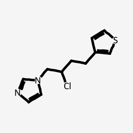 ClC(CCc1ccsc1)Cn1ccnc1